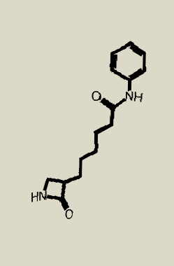 O=C(CCCCCC1CNC1=O)Nc1ccccc1